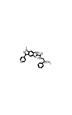 C[C@H](CNC(=O)c1nc2cc3c(-c4ccncc4)nn(I)c3cc2[nH]1)c1ccccc1